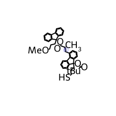 COCCCC1(OC(=O)/C(C)=C/c2cccc3c2-c2ccccc2C3(CCCS)OC(=O)C(C)(C)C)c2ccccc2-c2ccccc21